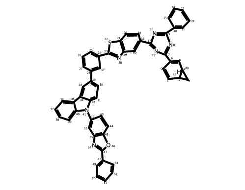 C1=CC2C[C@H]2C=C1c1nc(-c2ccccc2)nc(-c2ccc3sc(-c4cccc(-c5ccc6c(c5)c5ccccc5n6-c5ccc6oc(-c7ccccc7)nc6c5)c4)nc3c2)n1